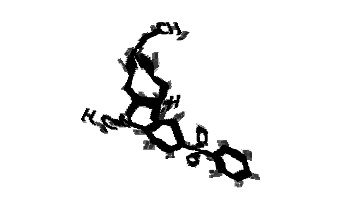 CCN1CCC2[C@@H](CC1)c1cc(S(=O)(=O)c3ccccc3)ccc1N2C